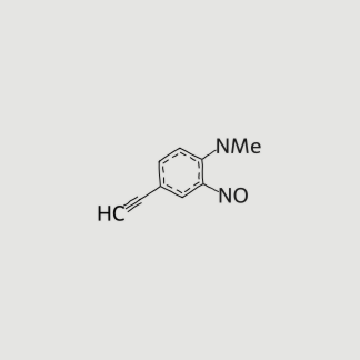 C#Cc1ccc(NC)c(N=O)c1